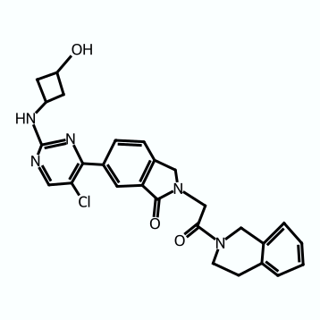 O=C(CN1Cc2ccc(-c3nc(NC4CC(O)C4)ncc3Cl)cc2C1=O)N1CCc2ccccc2C1